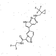 O=C(NCC(F)F)c1cnc2ccc(-c3c[nH]c4nc(NCC5(C(F)(F)F)CC5)ncc34)cn12